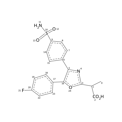 CC(C(=O)O)c1nc(-c2ccc(S(N)(=O)=O)cc2)c(-c2ccc(F)cc2)o1